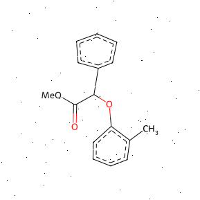 COC(=O)C(Oc1ccccc1C)c1ccccc1